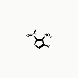 C[S+]([O-])c1scc(Cl)c1[N+](=O)[O-]